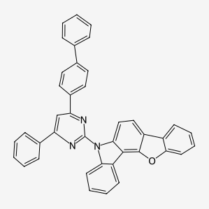 c1ccc(-c2ccc(-c3cc(-c4ccccc4)nc(-n4c5ccccc5c5c6oc7ccccc7c6ccc54)n3)cc2)cc1